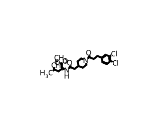 COC(=O)C(CC(C)C)NC(=O)CC1CCN(C(=O)CCc2ccc(Cl)c(Cl)c2)CC1